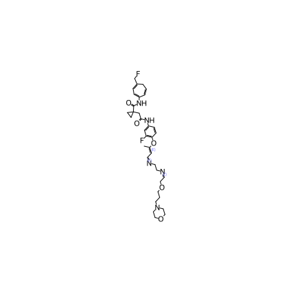 C/C(=C\C=N/CC/N=C\COCCCN1CCOCC1)Oc1ccc(NC(=O)CC2(C(=O)NC3=CC=C(CF)CC=C3)CC2)cc1F